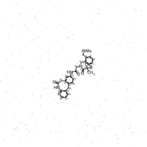 CNCc1ccccc1CN(CC(=O)Nc1ccc2c(c1)CC(=O)Nc1ncccc1C2)C(=O)C(C)(C)F